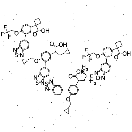 CC(C)CC(C(=O)O)c1ccc(OCC2CC2)c(-c2ccc3nsnc3c2)c1.O=C(O)C(CC1CC1)c1ccc(OCC2CC2)c(-c2ccc3nsnc3c2)c1.O=C(O)C1(c2ccc(OCC(F)(F)F)c(-c3ccc4nonc4c3)c2)CCC1.O=C(O)C1(c2ccc(OCC(F)(F)F)c(-c3ccc4nsnc4c3)c2)CCC1